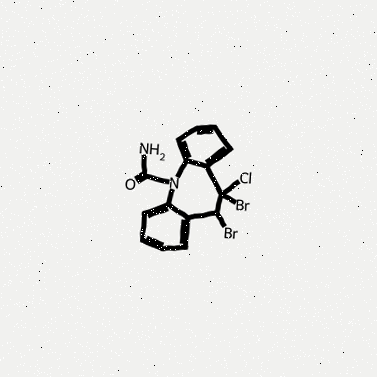 NC(=O)N1c2ccccc2C(Br)C(Cl)(Br)c2ccccc21